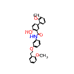 COc1ccccc1CCOc1cccc(NC(=O)c2cc(-c3ccccc3OC)ccc2O)c1